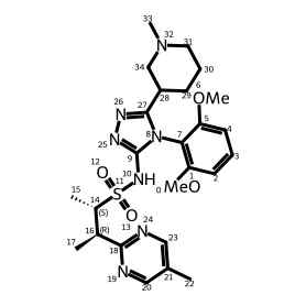 COc1cccc(OC)c1-n1c(NS(=O)(=O)[C@@H](C)[C@H](C)c2ncc(C)cn2)nnc1C1CCCN(C)C1